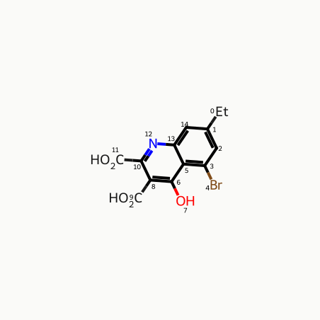 CCc1cc(Br)c2c(O)c(C(=O)O)c(C(=O)O)nc2c1